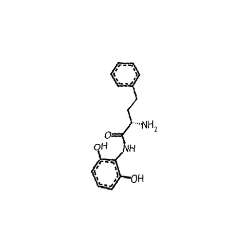 N[C@@H](CCc1ccccc1)C(=O)Nc1c(O)cccc1O